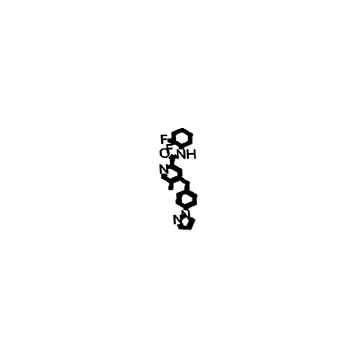 Cc1cnc(C(=O)NC2CCCCC2(F)F)cc1Cc1ccc(-n2cccn2)cc1